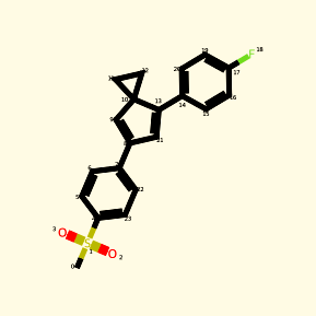 CS(=O)(=O)c1ccc(C2=CC3(CC3)C(c3ccc(F)cc3)=C2)cc1